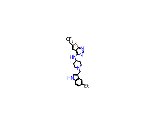 CCc1ccc2[nH]cc(CN3CCC(Nc4ncnc5sc(CC(F)(F)F)cc45)CC3)c2c1